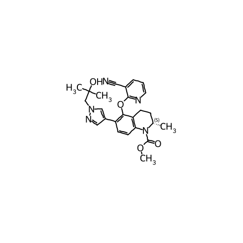 COC(=O)N1c2ccc(-c3cnn(CC(C)(C)O)c3)c(Oc3ncccc3C#N)c2CC[C@@H]1C